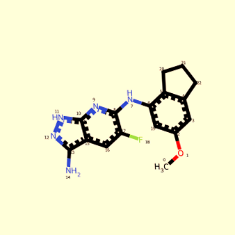 COc1cc2c(c(Nc3nc4[nH]nc(N)c4cc3F)c1)CCC2